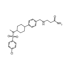 CN(C1CCC(c2ccc(CNCCC(N)=O)cc2)CC1)S(=O)(=O)c1ccc(Cl)cc1